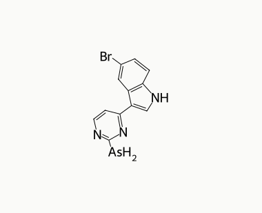 [AsH2]c1nccc(-c2c[nH]c3ccc(Br)cc23)n1